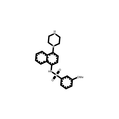 COc1cccc(S(=O)(=O)Nc2ccc(N3CCNCC3)c3ccccc23)c1